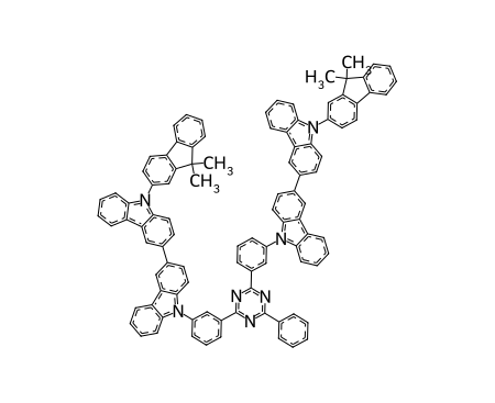 CC1(C)c2ccccc2-c2ccc(-n3c4ccccc4c4cc(-c5ccc6c(c5)c5ccccc5n6-c5cccc(-c6nc(-c7ccccc7)nc(-c7cccc(-n8c9ccccc9c9cc(-c%10ccc%11c(c%10)c%10ccccc%10n%11-c%10ccc%11c(c%10)C(C)(C)c%10ccccc%10-%11)ccc98)c7)n6)c5)ccc43)cc21